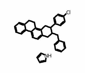 Clc1ccc(C2Cc3c(ccc4c3CCc3ccccc3-4)CC2Cc2ccccc2)cc1.c1cc[nH]c1